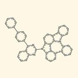 c1ccc(-c2ccc(-c3nc(-n4c5cccc6c7ccccc7n7c8ccccc8c8ccc4c(c65)c87)nc4ccccc34)cc2)cc1